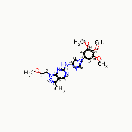 COCCn1nc(C)c2cnc(Nc3cn(-c4cc(OC)c(OC)c(OC)c4)cn3)nc21